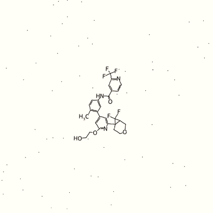 Cc1ccc(NC(=O)c2ccnc(C(F)(F)F)c2)cc1-c1cc(OCCO)nc(C23CCOCC2C3(F)F)c1